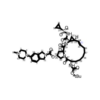 CN1CCN(c2ccc3c(c2)CN(C(=O)O[C@@H]2C[C@H]4C(=O)N[C@]5(C(=O)NS(=O)(=O)C6CC6)C[C@H]5/C=C/CCCCC[C@H](NC(=O)OC(C)(C)C)C(=O)N4C2)C3)CC1